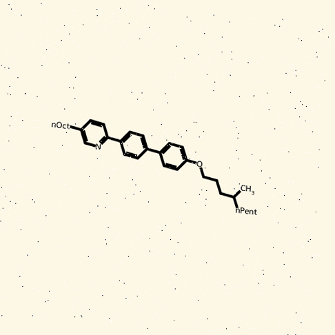 CCCCCCCCc1ccc(-c2ccc(-c3ccc(OCCCC(C)CCCCC)cc3)cc2)nc1